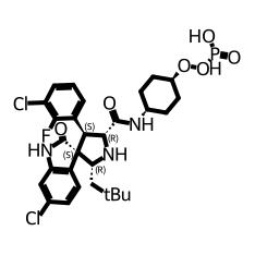 CC(C)(C)C[C@H]1N[C@@H](C(=O)N[C@H]2CC[C@H](OO[PH](=O)O)CC2)[C@H](c2cccc(Cl)c2F)[C@@]12C(=O)Nc1cc(Cl)ccc12